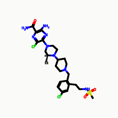 CC[C@H]1CN(c2nc(N)c(C(N)=O)nc2Cl)CCN1C1CCN(Cc2ccc(Cl)cc2CCNS(C)(=O)=O)CC1